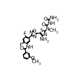 COc1cccc(C(=O)Nc2cc(-c3noc(-c4sc(N(C)C(=O)NC(N)=O)nc4N)n3)c(F)cc2F)c1